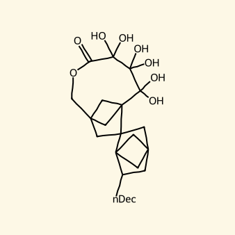 CCCCCCCCCCC1CC23CC1(C2)C1(C3)CC23COC(=O)C(O)(O)C(O)(O)C(O)(O)C1(C2)C3